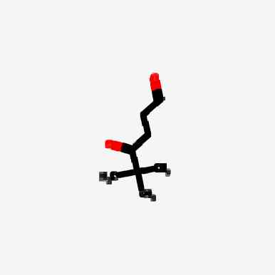 CC(C)(C)C(=O)CC[C]=O